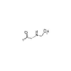 O=C(O)CNCP(=O)=O